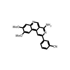 COc1cc2ncc3c(N)nc(-c4cccc(C#N)c4)cc3c2cc1OC